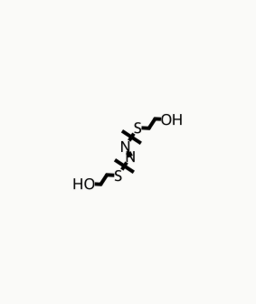 CC(C)(N=NC(C)(C)SCCO)SCCO